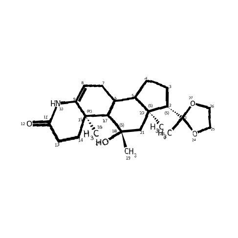 CC1([C@H]2CCC3C4CC=C5NC(=O)CC[C@]5(C)C4[C@@](C)(O)C[C@@]32C)OCCO1